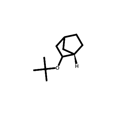 CC(C)(C)OC1CC2CC[C@H]1C2